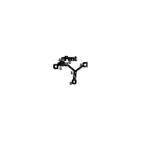 CCCCC(=O)Cl.CCCCCCl